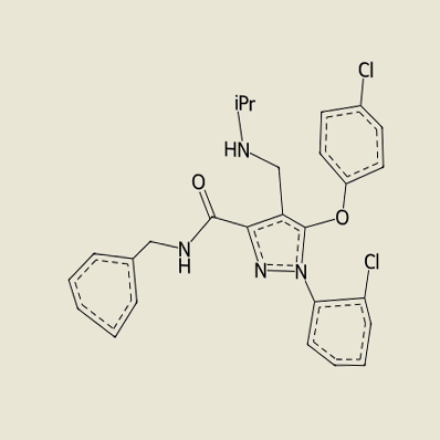 CC(C)NCc1c(C(=O)NCc2ccccc2)nn(-c2ccccc2Cl)c1Oc1ccc(Cl)cc1